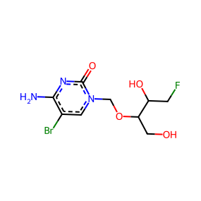 Nc1nc(=O)n(COC(CO)C(O)CF)cc1Br